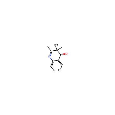 C/C=C1/N=C(C)C(C)(CCC)C(=O)/C1=C/CC